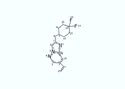 C=Cc1cnn2cc(CC3CCC(F)(F)CC3)nc2c1